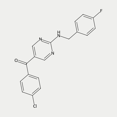 O=C(c1ccc(Cl)cc1)c1cnc(NCc2ccc(F)cc2)nc1